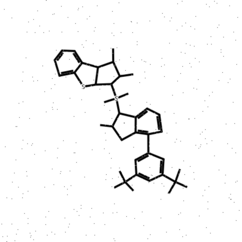 CC1Cc2c(-c3cc(C(C)(C)C)cc(C(C)(C)C)c3)cccc2C1S(C)(C)C1C(C)C(C)C2c3ccccc3SC21